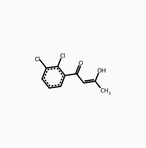 CC(O)=CC(=O)c1cccc(Cl)c1Cl